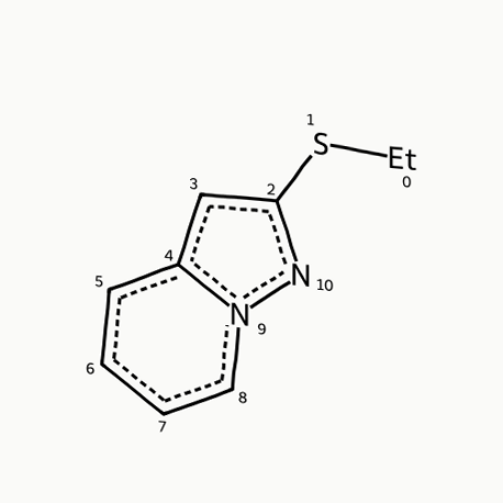 CCSc1cc2ccccn2n1